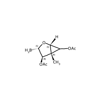 B[C@@H]1O[C@@H]2C(OC(C)=O)[C@]2(C)[C@H]1OC(C)=O